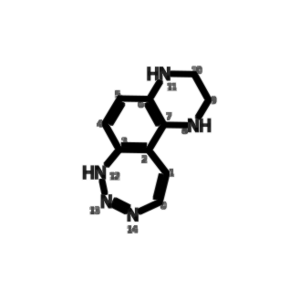 C1=Cc2c(ccc3c2NCCN3)NN=N1